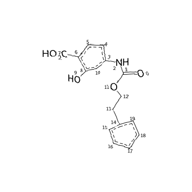 O=C(Nc1ccc(C(=O)O)c(O)c1)OCCc1ccccc1